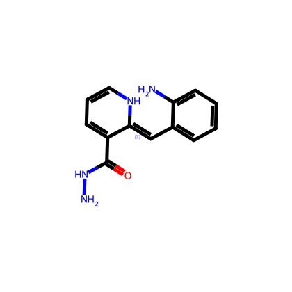 NNC(=O)C1=CC=CN/C1=C\c1ccccc1N